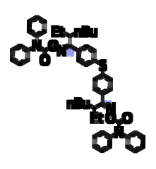 CCCCC(CC)/C(=N\OC(=O)N(c1ccccc1)c1ccccc1)c1ccc(Sc2ccc(/C(=N/OC(=O)N(c3ccccc3)c3ccccc3)C(CC)CCCC)cc2)cc1